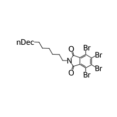 CCCCCCCCCCCCCCCCN1C(=O)c2c(Br)c(Br)c(Br)c(Br)c2C1=O